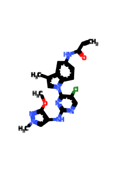 C=CC(=O)Nc1ccc2c(c1)c(C)cn2-c1nc(Nc2cn(C)nc2OC)ncc1Cl